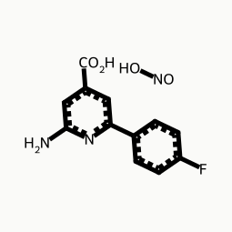 Nc1cc(C(=O)O)cc(-c2ccc(F)cc2)n1.O=NO